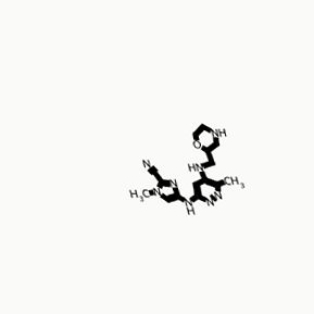 Cc1nnc(Nc2cn(C)c(C#N)n2)cc1NCC1CNCCO1